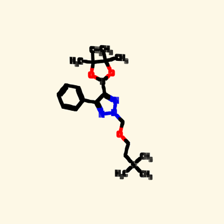 CC1(C)OB(c2nn(COCC[Si](C)(C)C)nc2-c2ccccc2)OC1(C)C